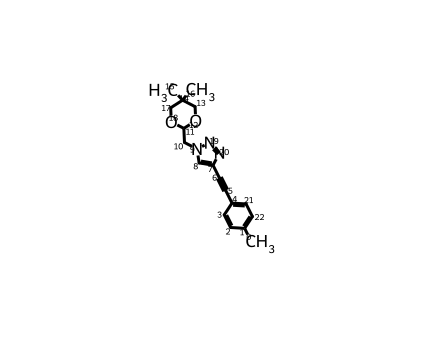 Cc1ccc(C#Cc2cn(CC3OCC(C)(C)CO3)nn2)cc1